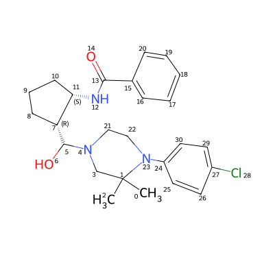 CC1(C)CN(C(O)[C@@H]2CCC[C@@H]2NC(=O)c2ccccc2)CCN1c1ccc(Cl)cc1